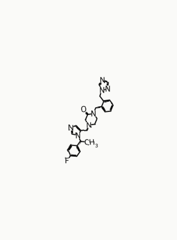 CC(c1ccc(F)cc1)n1cncc1CN1CCN(Cc2ccccc2Cn2cncn2)C(=O)C1